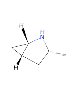 C[C@@H]1C[C@@H]2C[C@@H]2N1